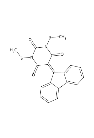 CSN1C(=O)C(=C2c3ccccc3-c3ccccc32)C(=O)N(SC)C1=O